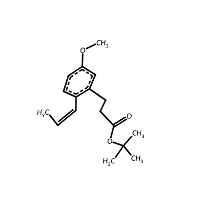 C/C=C\c1ccc(OC)cc1CCC(=O)OC(C)(C)C